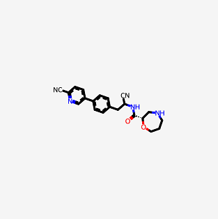 N#Cc1ccc(-c2ccc(CC(C#N)NC(=O)[C@@H]3CNCCCO3)cc2)cn1